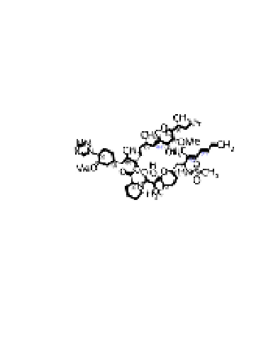 C=C/C=C/C=C(\C)[C@H](C[C@@H]1CC[C@@H](C)[C@](O)(C(=O)C(=O)N2CCCC[C@H]2C(=O)O[C@@H](CC[C@H](C)/C=C(\C)[C@@H](O)[C@@H](OC)C(=O)[C@H](C)CC(C)C)[C@H](C)C[C@@H]2CC[C@H](n3cnnn3)[C@H](OC)C2)O1)NS(C)(=O)=O